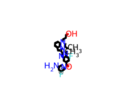 CCC1CN(CCCO)c2cccc3cc(-c4nc5cc(C(=O)N6C[C@H](N)C[C@@H](F)C6)cc(F)c5n4C)n1c23